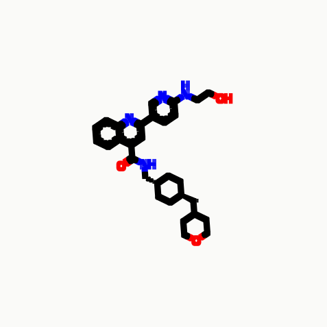 O=C(NC[C@H]1CC[C@H]([CH]C2CCOCC2)CC1)c1cc(-c2ccc(NCCO)nc2)nc2ccccc12